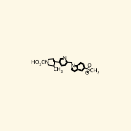 CC1CN(C(=O)O)CC=C1c1ccc(Cn2ccc3cc(S(C)(=O)=O)ccc32)nc1